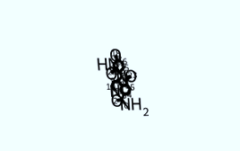 NC(=O)c1ccc2c3c(ccnc13)N(C1CCC(=O)NC1=O)C2=O